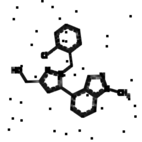 Cn1ncc2c(-c3cc(CO)nn3Cc3ccccc3Cl)cccc21